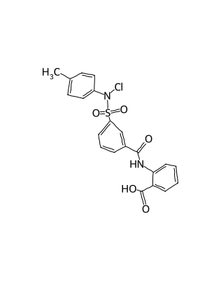 Cc1ccc(N(Cl)S(=O)(=O)c2cccc(C(=O)Nc3ccccc3C(=O)O)c2)cc1